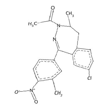 CC(=O)N1N=C(c2ccc([N+](=O)[O-])c(C)c2)c2cc(Cl)ccc2CC1C